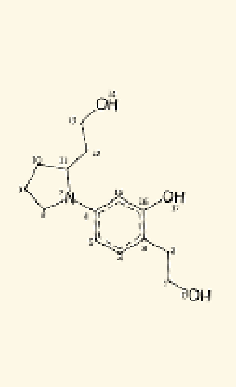 OCCc1ccc(N2CCCC2CCO)cc1O